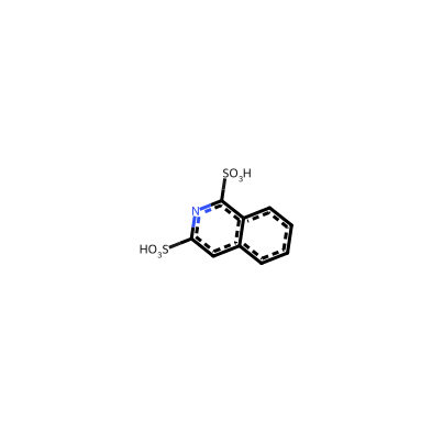 O=S(=O)(O)c1cc2ccccc2c(S(=O)(=O)O)n1